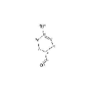 [2H]C1=CCC(C=O)CC1